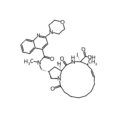 C[C@H]1/C=C\CCCCCCC(=O)N2C[C@H](CN(C)C(=O)c3cc(N4CCOCC4)nc4ccccc34)C[C@H]2C(=O)N[C@@]1(I)C(=O)O